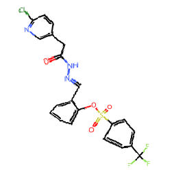 O=C(Cc1ccc(Cl)nc1)NN=Cc1ccccc1OS(=O)(=O)c1ccc(C(F)(F)F)cc1